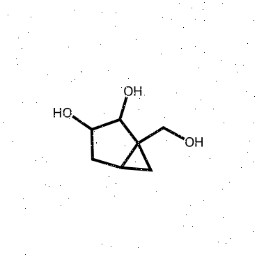 OCC12CC1CC(O)C2O